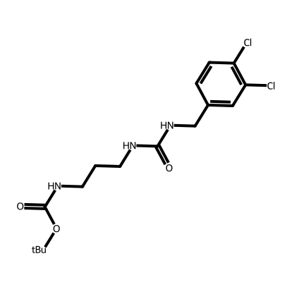 CC(C)(C)OC(=O)NCCCNC(=O)NCc1ccc(Cl)c(Cl)c1